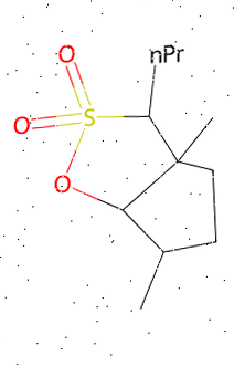 CCCC1C2(C)CCC(C)C2OS1(=O)=O